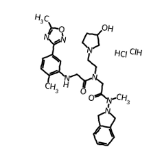 Cc1nc(-c2ccc(C)c(NCC(=O)N(CCN3CCC(O)C3)CC(=O)N(C)N3Cc4ccccc4C3)c2)no1.Cl.Cl